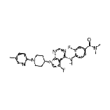 Cc1ccc(N2CCC(n3cc(F)c4c(Nc5ccc(C(=O)N(C)C)cc5F)ncnc43)CC2)nc1